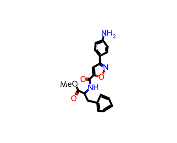 COC(=O)C(Cc1ccccc1)NC(=O)c1cc(-c2ccc(N)cc2)no1